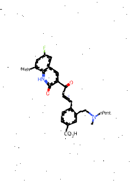 CCCCCN(C)Cc1cc(C(=O)O)ccc1/C=C/C(=O)c1cc2cc(F)cc(NC)c2[nH]c1=O